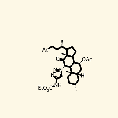 CCOC(=O)Nc1cn([C@@H]2C(=O)[C@@]3(C)C(CCC3[C@H](C)CCC(C)=O)C3C2[C@@]2(C)CC[C@@H](C)C[C@H]2C[C@H]3OC(C)=O)nn1